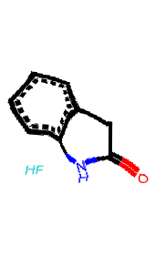 F.O=C1Cc2ccccc2N1